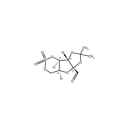 CC1(C)O[C@H]2[C@@H]3OS(=O)(=O)OC[C@@H]3O[C@@]2(C=O)O1